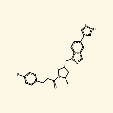 C[C@@H]1C[C@@H](Cn2ncc3cc(-c4cn[nH]c4)ccc32)CN1C(=O)CCc1ccc(F)cc1